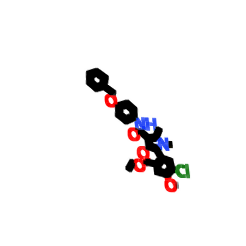 CCOC(=O)c1cc(OC)c(Cl)cc1-c1cc(C(=O)Nc2ccc(OCc3ccccc3)cc2)c(C)n1C